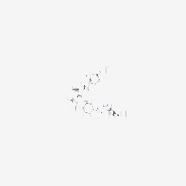 C/C(=N/N=N)N(C)c1ccc(C(=O)N(C2CC2)[C@@H]2CCN(c3ccc(C(F)(F)F)cn3)C[C@@H]2F)cc1